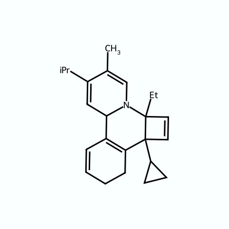 CCC12C=CC1(C1CC1)C1=C(C=CCC1)C1C=C(C(C)C)C(C)=CN12